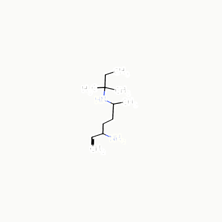 C=CC(N)CCC(C)NC(C)(C)CC